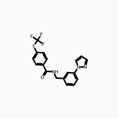 O=C(NCc1cccc(-n2cccn2)c1)c1ccc(SC(F)(F)F)cc1